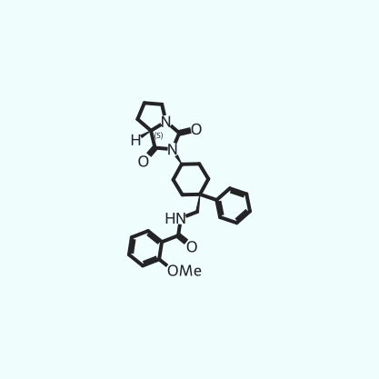 COc1ccccc1C(=O)NC[C@]1(c2ccccc2)CC[C@H](N2C(=O)[C@@H]3CCCN3C2=O)CC1